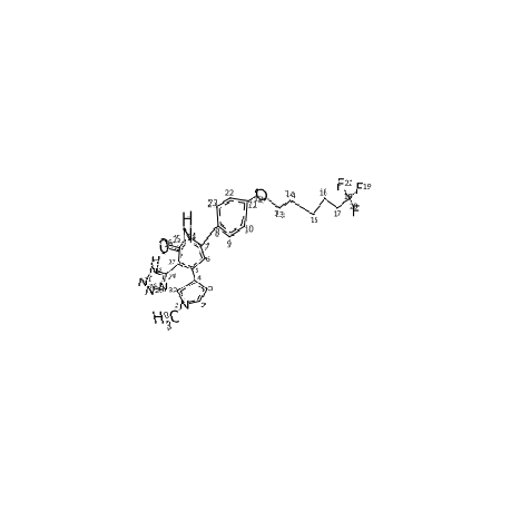 Cn1ccc(-c2cc(-c3ccc(OCCCCCC(F)(F)F)cc3)[nH]c(=O)c2-c2nnn[nH]2)c1